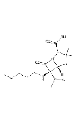 CCCCCN[C@@]1(C(C)=O)C(=O)N2[C@@H](C(=O)O)C(C)(C)S[C@@H]21